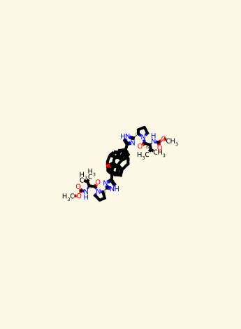 COC(=O)N[C@H](C(=O)N1CCC[C@H]1c1nc(-c2ccc(-c3cc4ccc3CCc3ccc(c(-c5ccc(-c6c[nH]c([C@@H]7CCCN7C(=O)[C@@H](NC(=O)OC)C(C)C)n6)cc5)c3)CC4)cc2)c[nH]1)C(C)C